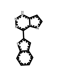 c1ccc2sc(-c3nn[nH]c4ccnc3-4)cc2c1